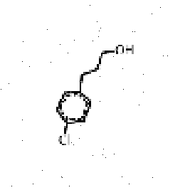 OC[CH]Cc1ccc(Cl)cc1